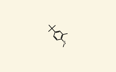 CSc1ccc(C(C)(C)C)cc1C